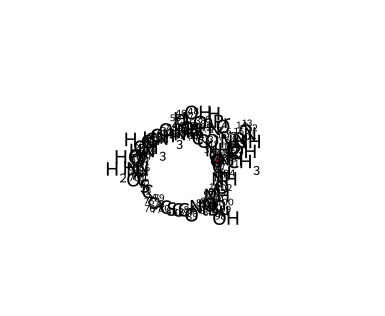 CCC[C@@H]1NC(=O)[C@H](Cc2c[nH]c3ncccc23)NC(=O)[C@H]([C@@H](C)O)NC(=O)[C@@H]2CCCNC(=O)CC[C@H](NC1=O)C(=O)N[C@@H](Cc1ccc(O)cc1)C(=O)NC(C)(C)C(=O)N[C@@H]([C@@H](C)O)C(=O)N[C@H](C(N)=O)CSCc1cccc(c1)CSCCC(=O)N[C@@H](C(C)(C)C)C(=O)N[C@@H](Cc1ccc(O)cc1)C(=O)N2